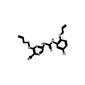 C=CCCOc1nc(NC(=O)Nc2cc(Cl)ccc2OCC=C)cnc1C#N